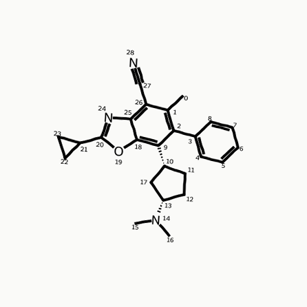 Cc1c(-c2ccccc2)c([C@@H]2CC[C@H](N(C)C)C2)c2oc(C3CC3)nc2c1C#N